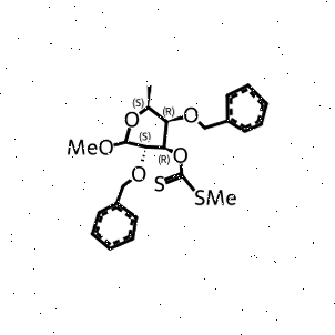 COC1O[C@@H](C)[C@@H](OCc2ccccc2)[C@@H](OC(=S)SC)[C@@H]1OCc1ccccc1